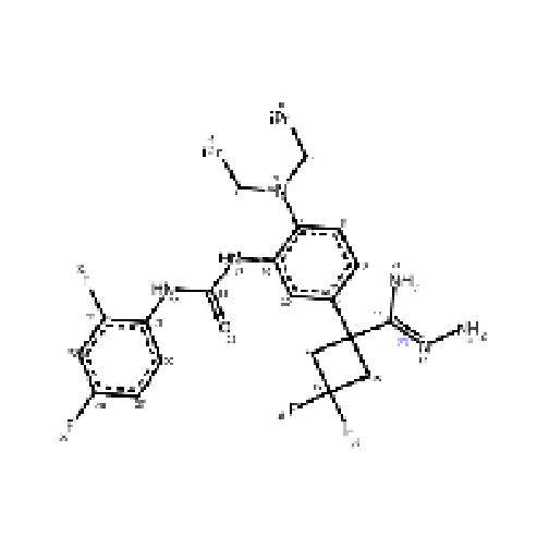 CC(C)CN(CC(C)C)c1ccc(C2(/C(N)=N/N)CC(F)(F)C2)cc1NC(=O)Nc1ccc(F)cc1F